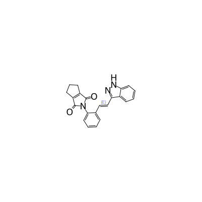 O=C1C2=C(CCC2)C(=O)N1c1ccccc1/C=C/c1n[nH]c2ccccc12